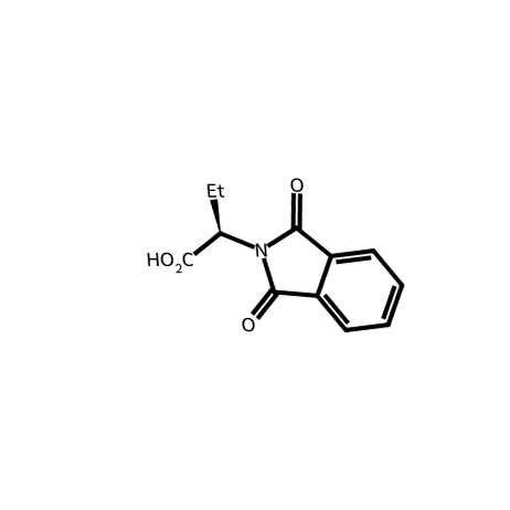 CC[C@H](C(=O)O)N1C(=O)c2ccccc2C1=O